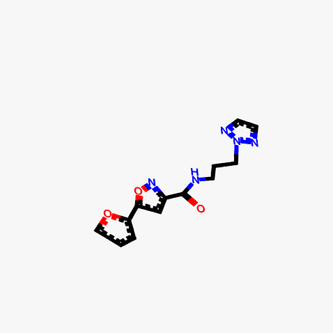 O=C(NCCCn1nccn1)c1cc(-c2ccco2)on1